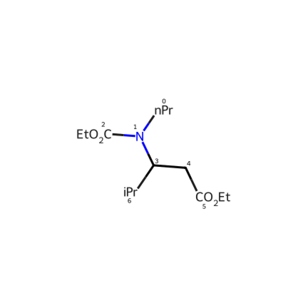 CCCN(C(=O)OCC)C(CC(=O)OCC)C(C)C